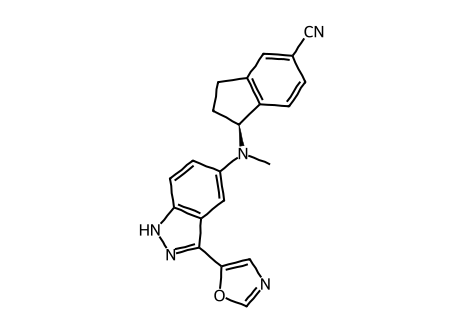 CN(c1ccc2[nH]nc(-c3cnco3)c2c1)[C@H]1CCc2cc(C#N)ccc21